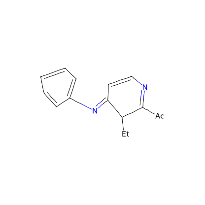 CCC1C(=Nc2ccccc2)C=CN=C1C(C)=O